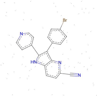 N#Cc1ccc2[nH]c(-c3ccncc3)c(-c3ccc(Br)cc3)c2n1